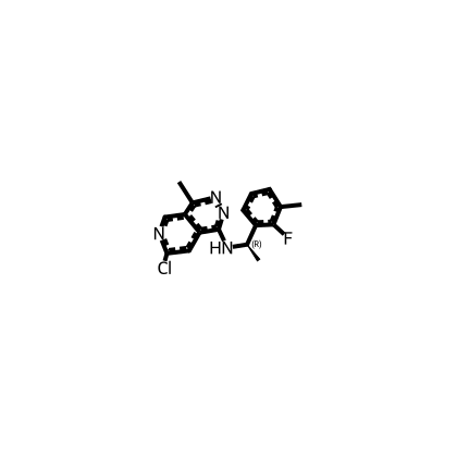 Cc1cccc([C@@H](C)Nc2nnc(C)c3cnc(Cl)cc23)c1F